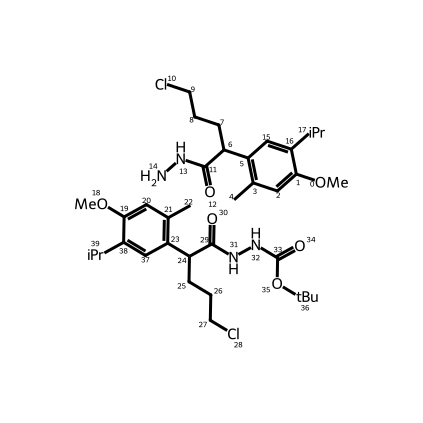 COc1cc(C)c(C(CCCCl)C(=O)NN)cc1C(C)C.COc1cc(C)c(C(CCCCl)C(=O)NNC(=O)OC(C)(C)C)cc1C(C)C